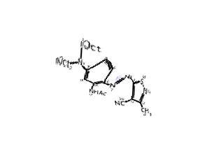 CCCCCCCCN(CCCCCCCC)c1ccc(/N=N/c2snc(C)c2C#N)c(NC(C)=O)c1